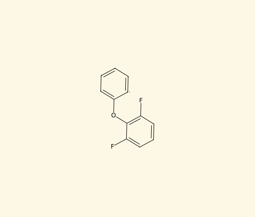 Fc1cccc(F)c1Oc1[c]cccc1